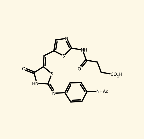 CC(=O)Nc1ccc(N=C2NC(=O)C(=Cc3cnc(NC(=O)CCC(=O)O)s3)S2)cc1